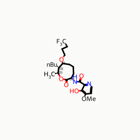 CCCC[C@H]1[C@H](C)OC(=O)[C@@H](NC(=O)c2nccc(OC)c2O)CCC[C@@H]1OCCCC(F)(F)F